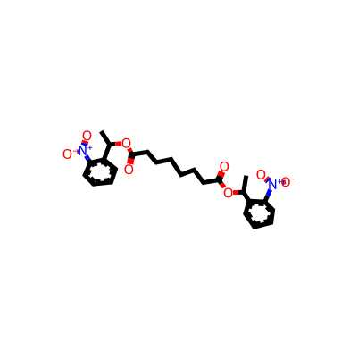 CC(OC(=O)CCCCCCC(=O)OC(C)c1ccccc1[N+](=O)[O-])c1ccccc1[N+](=O)[O-]